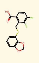 O=C(O)c1ccc(F)c(F)c1CSc1cccc2c1OCO2